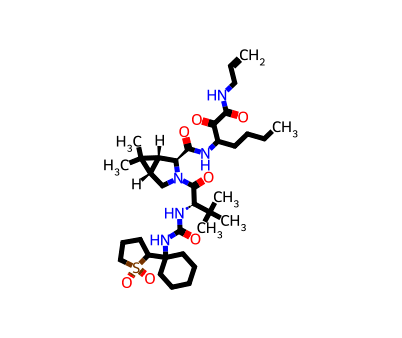 C=CCNC(=O)C(=O)C(CCCC)NC(=O)[C@@H]1[C@@H]2[C@H](CN1C(=O)[C@@H](NC(=O)NC1(C3CCCS3(=O)=O)CCCCC1)C(C)(C)C)C2(C)C